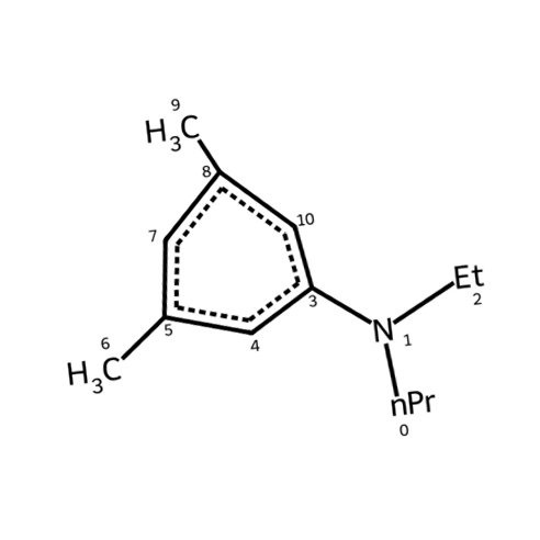 CCCN(CC)c1cc(C)cc(C)c1